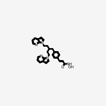 O=C(/C=C/c1ccc(CC(CCn2ccc3cccnc32)CCn2ccc3cccnc32)cc1)NO